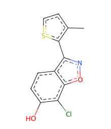 Cc1ccsc1-c1noc2c(Cl)c(O)ccc12